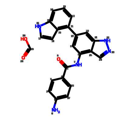 Nc1ccc(C(=O)Nc2cc(-c3cccc4[nH]ccc34)cc3[nH]ncc23)cc1.O=CO